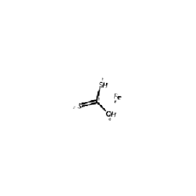 OC(=S)S.[Fe]